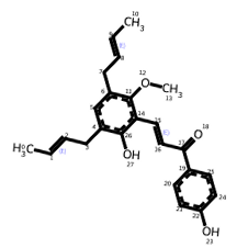 C/C=C/Cc1cc(C/C=C/C)c(OC)c(/C=C/C(=O)c2ccc(O)cc2)c1O